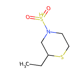 CCC1CN([SH](=O)=O)CCS1